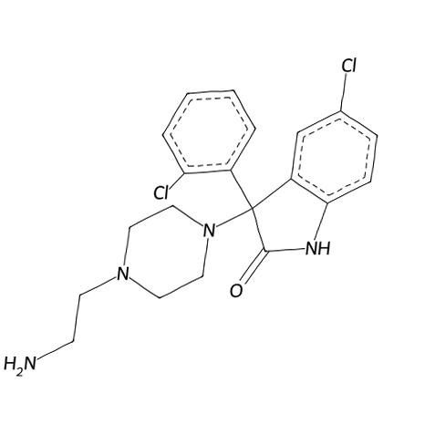 NCCN1CCN(C2(c3ccccc3Cl)C(=O)Nc3ccc(Cl)cc32)CC1